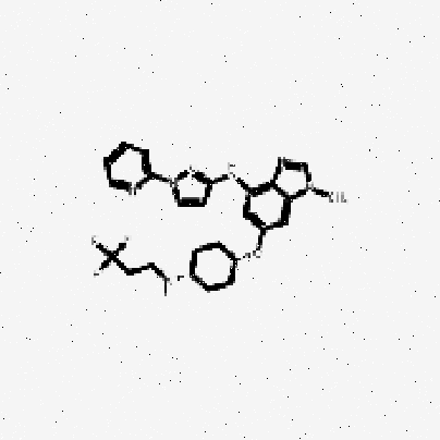 Cn1cnc2c(Nc3ccn(-c4ccccn4)n3)cc(O[C@H]3CC[C@@H](NCCC(F)(F)F)CC3)cc21